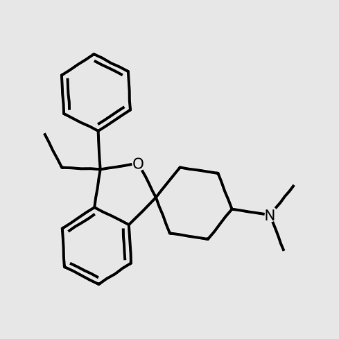 CCC1(c2ccccc2)OC2(CCC(N(C)C)CC2)c2ccccc21